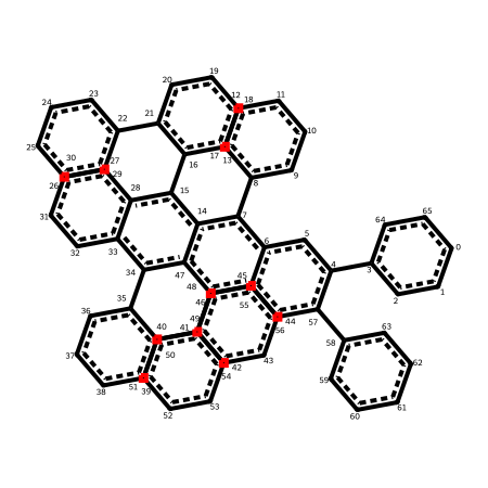 c1ccc(-c2cc3c(-c4ccccc4)c4c(-c5ccccc5-c5ccccc5)c5ccccc5c(-c5ccccc5-c5ccccc5)c4c(-c4ccccc4)c3cc2-c2ccccc2)cc1